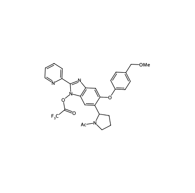 COCc1ccc(Oc2cc3nc(-c4ccccn4)n(OC(=O)C(F)(F)F)c3cc2C2CCCN2C(C)=O)cc1